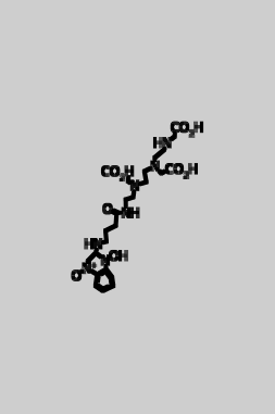 O=C(O)CNCCN(CCN(CCNC(=O)CCCNC1C=[N+]([O-])c2ccccc2N1O)CC(=O)O)CC(=O)O